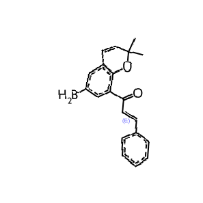 Bc1cc2c(c(C(=O)/C=C/c3ccccc3)c1)OC(C)(C)C=C2